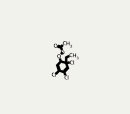 CCC1(Cl)C=C(Cl)C(Cl)=CC1OOC(C)=O